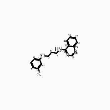 Clc1cccc(OCCCNc2ncnc3ccccc23)c1